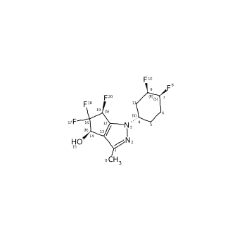 Cc1nn([C@H]2CC[C@H](F)[C@H](F)C2)c2c1[C@@H](O)C(F)(F)[C@H]2F